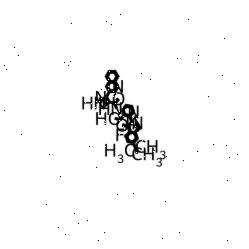 CC(C)(C)c1cc(F)c2c(=O)n(-c3nccc(NC(=O)c4c[nH]nc4-c4cnc5ccccc5c4)c3CO)ncc2c1